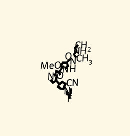 C=CNCC(C)NC(=O)c1cnc(-c2cc3nccc(-c4ccc(N5CCC(F)C5)c(C#N)c4)c3o2)c(OC)c1